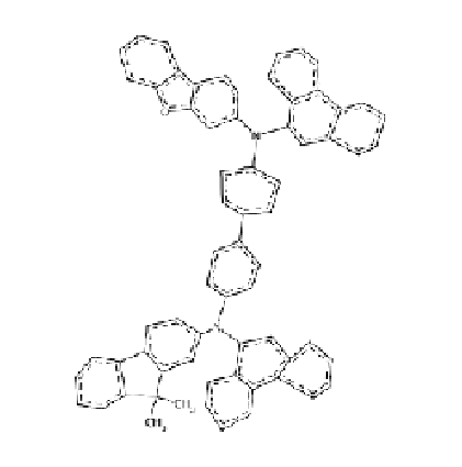 CC1(C)c2ccccc2-c2ccc(N(c3ccc(-c4ccc(N(c5ccc6c(c5)oc5ccccc56)c5cc6ccccc6c6ccccc56)cc4)cc3)c3cc4ccccc4c4ccccc34)cc21